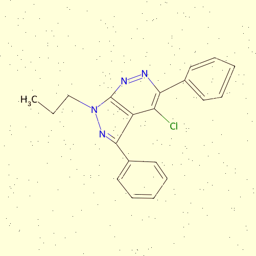 CCCn1nc(-c2ccccc2)c2c(Cl)c(-c3ccccc3)nnc21